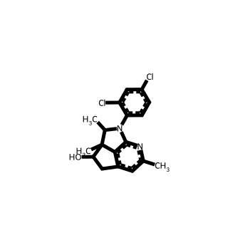 Cc1cc2c3c(n1)N(c1ccc(Cl)cc1Cl)C(C)C3(C)C(O)C2